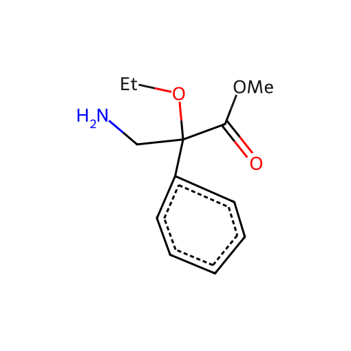 CCOC(CN)(C(=O)OC)c1ccccc1